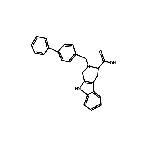 O=C(O)C1Cc2c([nH]c3ccccc23)CN1Cc1ccc(-c2ccccc2)cc1